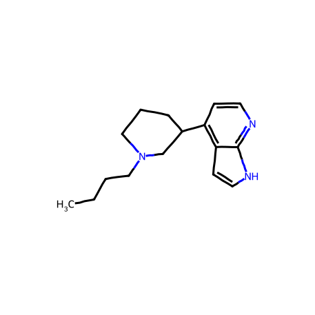 CCCCN1CCCC(c2ccnc3[nH]ccc23)C1